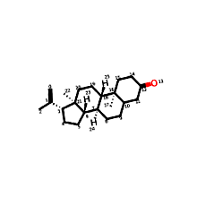 C=C(C)[C@H]1CC[C@H]2[C@@H]3CCC4CC(=O)CC[C@]4(C)[C@H]3CC[C@]12C